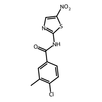 Cc1cc(C(=O)Nc2ncc([N+](=O)[O-])s2)ccc1Cl